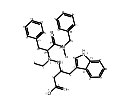 CCN(NC(CC(=O)O)Cc1c[nH]c2ccccc12)C(Cc1ccccc1)C(=O)N(C)Cc1ccccc1